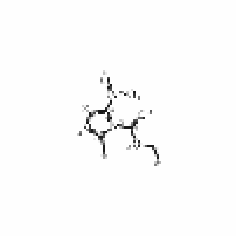 CCOC(=O)n1c([N+](=O)[O-])cnc1C